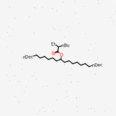 CCCCCCCCCCCCCCCCCC(CCCCCCCCCCCCCCCC)OC(=O)C(CC)CCCC